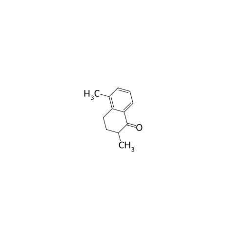 Cc1cccc2c1CCC(C)C2=O